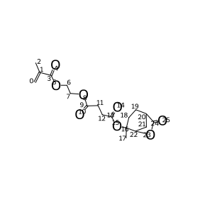 C=C(C)C(=O)OCCOC(=O)CCC(=O)OC1(C)CCC2CC1OC2=O